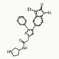 CCn1c(=O)n(CC)c2cc(-c3cn(CC(=O)NC4CCNC4)nc3-c3ccccc3)ccc21